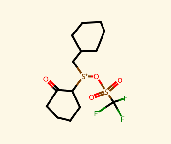 O=C1CCCCC1[S+](CC1CCCCC1)OS(=O)(=O)C(F)(F)F